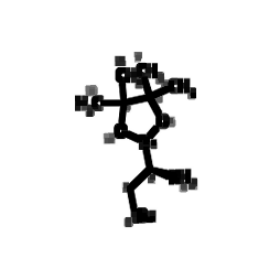 CC(C)(C)C[C@H](N)B1OC(C)(C)C(C)(C)O1